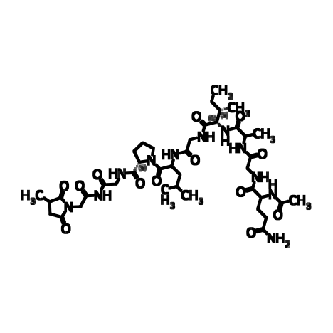 CC[C@H](C)[C@H](NC(=O)C(C)NC(=O)CNC(=O)C(CCC(N)=O)NC(C)=O)C(=O)NCC(=O)NC(CC(C)C)C(=O)N1CCC[C@H]1C(=O)NCC(=O)NC(=O)CN1C(=O)CC(C)C1=O